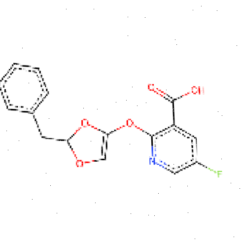 O=C(O)c1cc(F)cnc1OC1=COC(Cc2ccccc2)O1